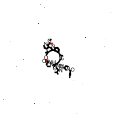 CC#CC(=O)N1CC[C@H](C(=O)N(C)C(C(=O)N[C@H]2Cc3nc(cs3)-c3ccc4c(c3)c(c(-c3cccnc3[C@H](C)OC)n4C)CC(C)(C)COC(=O)[C@@H]3CCCN(N3)C2=O)C(C)C)C1